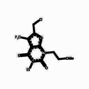 CCn1c(=O)c2c(C(F)(F)F)c(CCl)sc2n(CCOC)c1=O